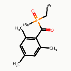 Cc1cc(C)c(C(=O)P(=O)(CC(C)C)C(C)(C)C)c(C)c1